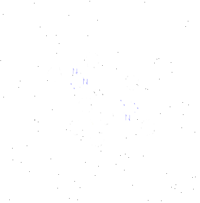 N#Cc1cc(S(c2ccccc2)(c2ccccc2)c2ccc(-c3nc(-c4ccccc4)nc(-c4ccccc4)n3)cc2)ccc1-c1nc(-c2ccccc2)nc(-c2ccccc2)n1